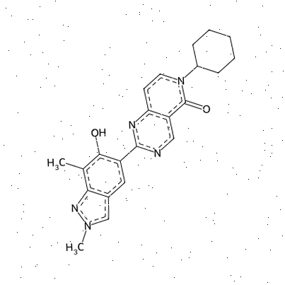 Cc1c(O)c(-c2ncc3c(=O)n(C4CCCCC4)ccc3n2)cc2cn(C)nc12